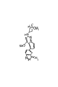 COc1nc(NC2CC(C)(O)C2)nn2ccc(-c3ccc4nnn(C)c4c3)c12